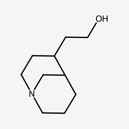 OCCC1CCN2CCCC1C2